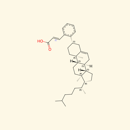 CC(C)CCC[C@@H](C)[C@H]1CC[C@H]2[C@@H]3CC=C4C[C@@H](c5ccccc5/C=C/C(=O)O)CC[C@]4(C)[C@H]3CC[C@]12C